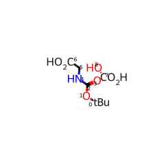 CC(C)(C)OC(=O)NCC(=O)O.O=C(O)O